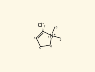 C[N+]1(C)C=CCC1.[Cl-]